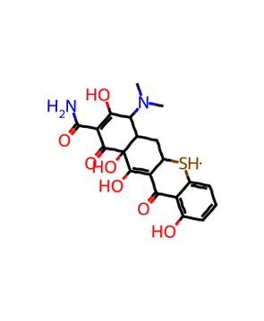 CN(C)C1C(O)=C(C(N)=O)C(=O)C2(O)C(O)=C3C(=O)c4c(O)cccc4[SH]C3CC12